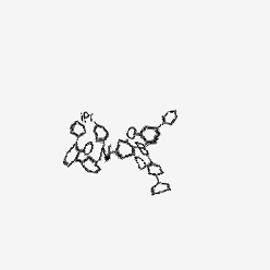 CC(C)c1ccc(N(c2cc3c4c(c2)Oc2cc(-c5ccccc5)ccc2B4c2ccc(-c4ccccc4)cc2O3)c2cccc3c2oc2c(-c4ccccc4)cccc23)cc1